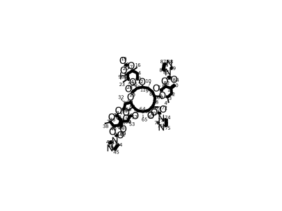 C=C1C[C@@H](C)O[C@@H](O[C@@H]2[C@@H](C)[C@H](O[C@H]3C[C@@]4(C)OC(=O)O[C@H]4[C@H](C)O3)[C@@H](C)C(=O)O[C@H]([C@@H](C)CO[C@@H]3O[C@H](C)[C@@H](OC(=O)n4ccnc4)[C@@H](OC)[C@H]3OC)[C@H](C)[C@@H](OC(=O)CC(C)C)[C@@H](C)C(=O)[C@@](C)(OC(=O)n3ccnc3)C[C@@H]2C)[C@@H]1OC(=O)n1ccnc1